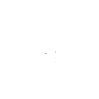 CCOC(=O)c1n[nH]c2c1CCc1cnc(Nc3ccccc3OCF)nc1-2